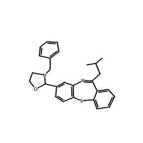 CC(C)CC1=Nc2cc(C3OCCN3Cc3ccccc3)ccc2Sc2ccccc21